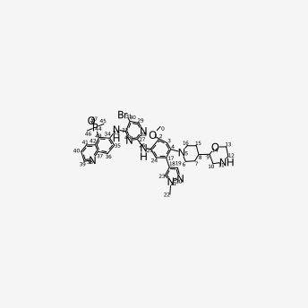 COc1cc(N2CCC(C3CNCCO3)CC2)c(-c2cnn(C)c2)cc1Nc1ncc(Br)c(Nc2ccc3ncccc3c2P(C)(C)=O)n1